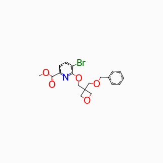 COC(=O)c1ccc(Br)c(OCC2(COCc3ccccc3)COC2)n1